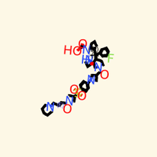 O=C(O)N[C@H]1CCC[C@@H]1[C@](CN1CCC1)(c1cccc(F)c1)C1CCN(C(=O)C2CN(c3ccc(S(=O)(=O)C4CN(C(=O)/C=C/CN5CCCCC5)C4)cc3)C2)CC1